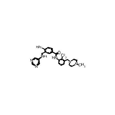 CCCc1ccc(C(=O)Nc2cccc(CN3CCN(C)CC3)c2C(F)(F)F)cc1CNc1cncnc1